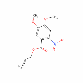 C=CCOC(=O)c1cc(OC)c(OC)cc1[N+](=O)[O-]